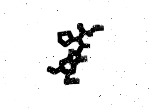 C=Cc1cc2nc(C(C)N(C(=O)OC(C)(C)C)C3CCCC3)[nH]c2cc1OC